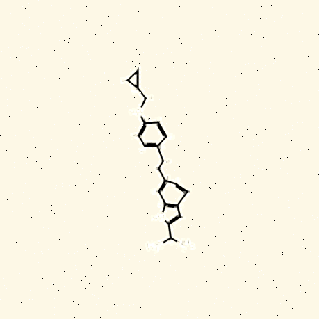 CC(N)c1cc2ccc(CCc3ccc(OCC4CC4)cc3)cc2o1